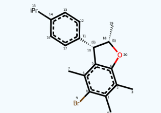 Cc1c(C)c2c(c(C)c1Br)[C@H](c1ccc(C(C)C)cc1)[C@H](C)O2